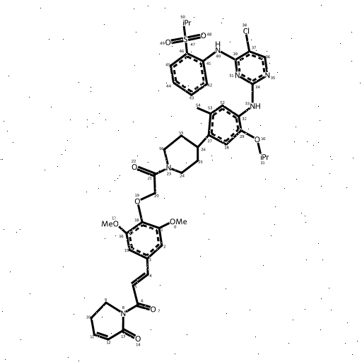 COc1cc(/C=C/C(=O)N2CCC=CC2=O)cc(OC)c1OCC(=O)N1CCC(c2cc(OC(C)C)c(Nc3ncc(Cl)c(Nc4ccccc4S(=O)(=O)C(C)C)n3)cc2C)CC1